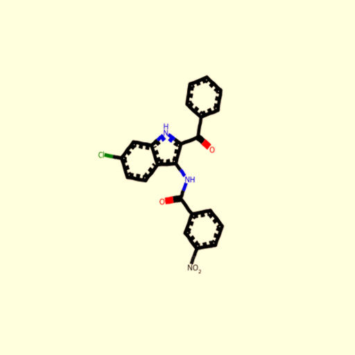 O=C(Nc1c(C(=O)c2ccccc2)[nH]c2cc(Cl)ccc12)c1cccc([N+](=O)[O-])c1